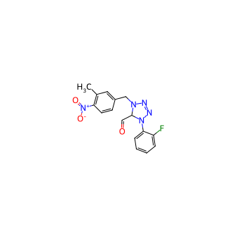 Cc1cc(CN2N=NN(c3ccccc3F)C2C=O)ccc1[N+](=O)[O-]